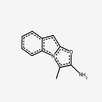 Cc1c(N)oc2cc3ccccc3n12